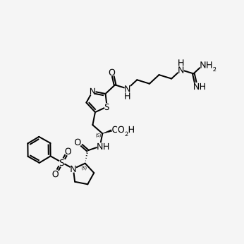 N=C(N)NCCCCNC(=O)c1ncc(C[C@H](NC(=O)[C@@H]2CCCN2S(=O)(=O)c2ccccc2)C(=O)O)s1